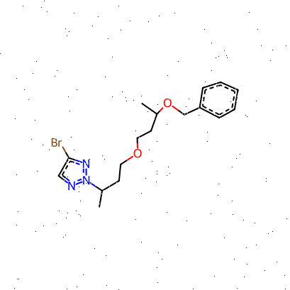 CC(CCOCCC(C)n1ncc(Br)n1)OCc1ccccc1